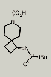 CC(C)(C)[S+]([O-])/N=C1\CCC12CCN(C(=O)O)CC2